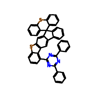 c1ccc(-c2nc(-c3ccccc3)nc(-c3cccc4sc5cc6c(cc5c34)-c3ccccc3C63c4ccccc4Sc4ccccc43)n2)cc1